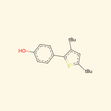 CC(C)(C)c1cc(C(C)(C)C)c(-c2ccc(O)cc2)s1